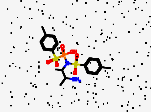 Cc1ccc(S(=O)(=O)N(C(C)C(C)N)P(=O)(O)S(=O)(=O)c2ccc(C)cc2)cc1